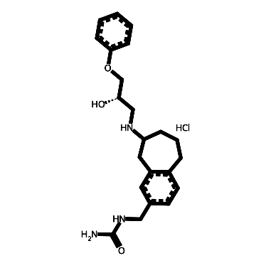 Cl.NC(=O)NCc1ccc2c(c1)CC(NC[C@H](O)COc1ccccc1)CCC2